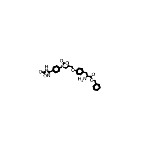 NC(Cc1ccc(OCC2CN(c3ccc(-c4noc(=O)[nH]4)cc3)C(=O)O2)cc1)C(=O)OCc1ccccc1